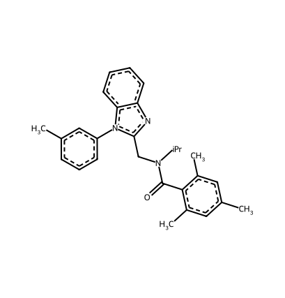 Cc1cccc(-n2c(CN(C(=O)c3c(C)cc(C)cc3C)C(C)C)nc3ccccc32)c1